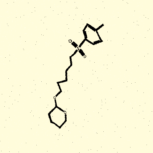 Cc1ccc(S(=O)(=O)CCCCCCOC2CCCCO2)cc1